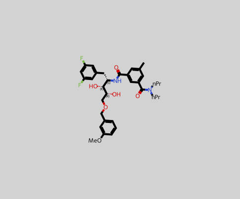 CCCN(CCC)C(=O)c1cc(C)cc(C(=O)N[C@@H](Cc2cc(F)cc(F)c2)[C@@H](O)[C@H](O)COCc2cccc(OC)c2)c1